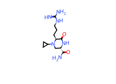 N=C(N)NCCC[C@H]1C(=O)N[C@H](C(N)=O)CN1C1CC1